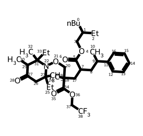 CCCCC(CC)COC(=O)C(CC(C)c1ccccc1)CC(C)(CON1C(C)(CC)CC(=O)C(C)C1(C)CC)C(=O)OCC(F)(F)F